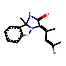 CC(/C=C(\C)Br)=C1\C(=O)NC(C)(c2ccccc2)N1C=O